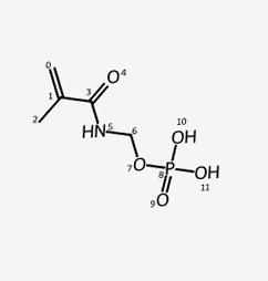 C=C(C)C(=O)NCOP(=O)(O)O